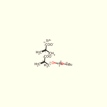 C=C(C)C(=O)[O-].C=C(C)C(=O)[O-].CCCC[O-].CCCC[O-].[Ti+4]